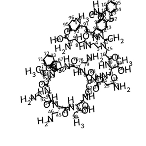 C=C(N(CCNC(O)CC[C@H](N)C(=O)O)CCC(=O)N[C@H](C(=O)N[C@@H](CCN)C(=O)N[C@H]1CCNC(=O)[C@H]([C@@H](C)O)NC(=O)[C@H](CCN)NC(=O)[C@H](CCN)NC(=O)[C@H](CC(C)C)NC(=O)[C@@H](Cc2ccccc2)NC(=O)[C@H](CCN)NC1=O)[C@H](C)O)n1nc(/C=C/c2ccccn2)c2ccc(Sc3ccccc3C(=O)NC)cc21